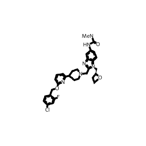 CNC(=O)Nc1ccc2c(c1)nc(CN1CCC(c3cccc(OCc4ccc(Cl)cc4F)n3)CC1)n2C[C@@H]1CCO1